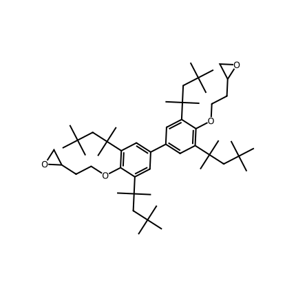 CC(C)(C)CC(C)(C)c1cc(-c2cc(C(C)(C)CC(C)(C)C)c(OCCC3CO3)c(C(C)(C)CC(C)(C)C)c2)cc(C(C)(C)CC(C)(C)C)c1OCCC1CO1